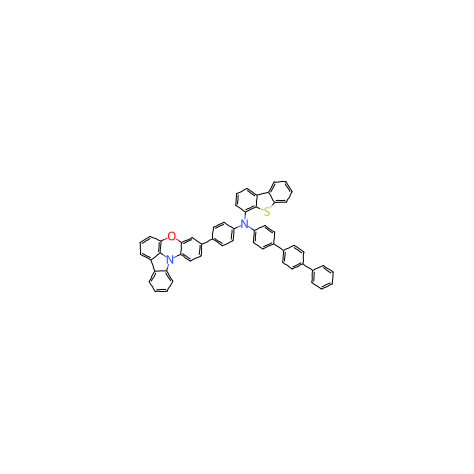 c1ccc(-c2ccc(-c3ccc(N(c4ccc(-c5ccc6c(c5)Oc5cccc7c8ccccc8n-6c57)cc4)c4cccc5c4sc4ccccc45)cc3)cc2)cc1